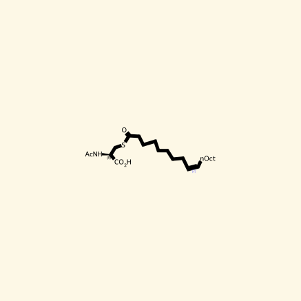 CCCCCCCC/C=C\CCCCCCCC(=O)SC[C@H](NC(C)=O)C(=O)O